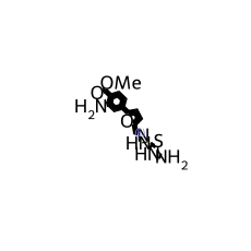 COC(=O)c1ccc(-c2ccc(/C=N/NC(=S)NN)o2)cc1N